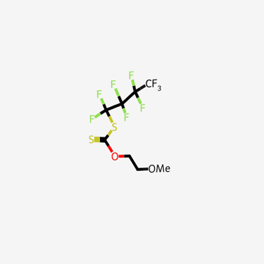 COCCOC(=S)SC(F)(F)C(F)(F)C(F)(F)C(F)(F)F